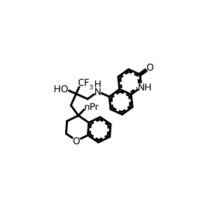 CCCC1(CC(O)(CNc2cccc3[nH]c(=O)ccc23)C(F)(F)F)CCOc2ccccc21